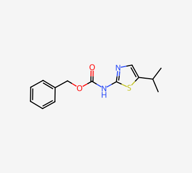 CC(C)c1cnc(NC(=O)OCc2ccccc2)s1